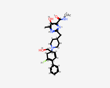 CC(=O)ONC(=O)c1nc(CC2CCN(C3(CO)C=CC(c4ccccc4)=C(F)C3)CC2)nc(C)c1O